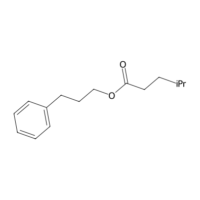 CC(C)CCC(=O)OCCCc1ccccc1